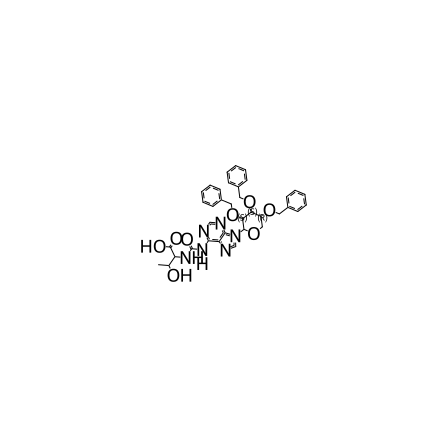 CC(O)C(NC(=O)Nc1ncnc2c1ncn2C1OC[C@@H](OCc2ccccc2)[C@H](OCc2ccccc2)[C@@H]1OCc1ccccc1)C(=O)O